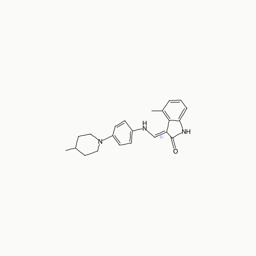 Cc1cccc2c1/C(=C\Nc1ccc(N3CCC(C)CC3)cc1)C(=O)N2